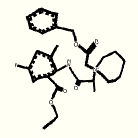 CCOC(=O)c1cc(F)cc(C)c1NC(=O)C(C)[N+]1(CC(=O)OCc2ccccc2)CCCCC1